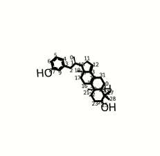 C[C@H](Cc1cccc(O)c1)[C@H]1CC=C2C3=C(CC[C@@]21C)[C@@]1(C)CC[C@H](O)C(C)(C)[C@@H]1CC3